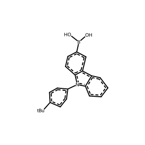 CC(C)(C)c1ccc(-n2c3ccccc3c3cc(B(O)O)ccc32)cc1